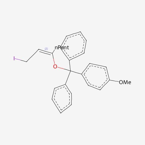 CCCCC/C(=C/CI)OC(c1ccccc1)(c1ccccc1)c1ccc(OC)cc1